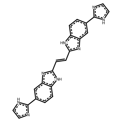 C(=C\c1nc2cc(-c3ncc[nH]3)ccc2[nH]1)/c1nc2cc(-c3ncc[nH]3)ccc2[nH]1